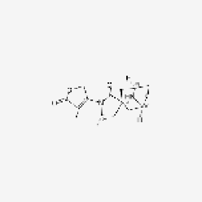 CC1=C(N2C(=O)[C@@]3(C[C@H]4CC[C@@H](C3)N4)C[C@@H]2C)COC1=O